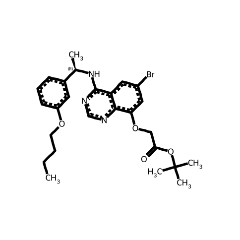 CCCCOc1cccc([C@@H](C)Nc2ncnc3c(OCC(=O)OC(C)(C)C)cc(Br)cc23)c1